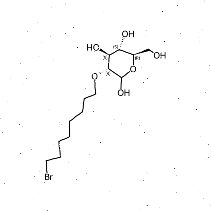 OC[C@H]1OC(O)[C@H](OCCCCCCCCBr)[C@@H](O)[C@@H]1O